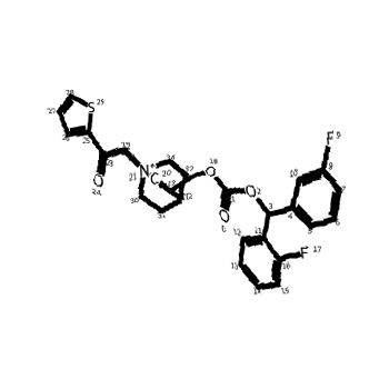 O=C(OC(c1cccc(F)c1)c1ccccc1F)OC1C[N+]2(CC(=O)c3cccs3)CCC1CC2